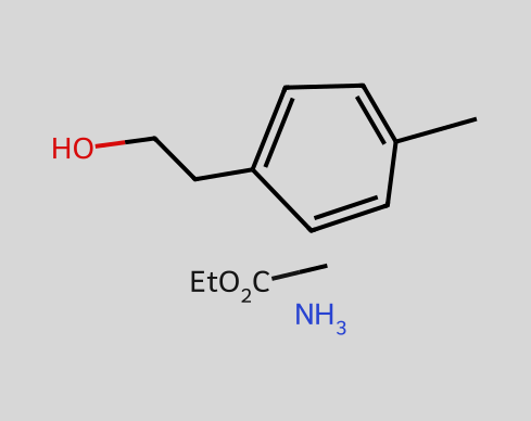 CCOC(C)=O.Cc1ccc(CCO)cc1.N